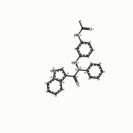 CC(=O)Nc1cccc(N[C@H](C(=O)c2c[nH]c3ccccc23)c2ccccc2)c1